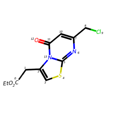 CCOC(=O)Cc1csc2nc(CCl)cc(=O)n12